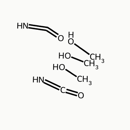 CO.CO.CO.N=C=O.N=C=O